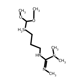 CN=C(NCCC[SiH2]C(OC)OC)N(C)C